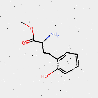 COC(=O)[C@@H](N)Cc1ccccc1O